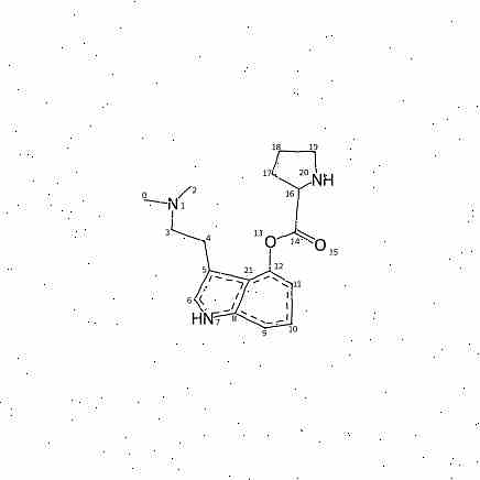 CN(C)CCc1c[nH]c2cccc(OC(=O)C3CCCN3)c12